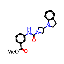 COC(=O)c1cccc(NC(=O)N2CC(N3CCc4ccccc43)C2)c1